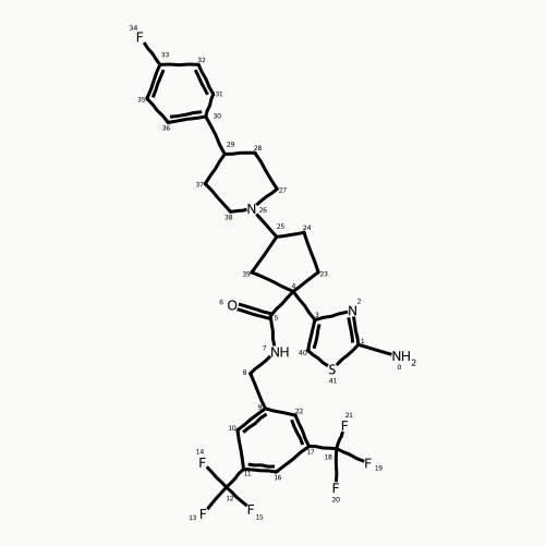 Nc1nc(C2(C(=O)NCc3cc(C(F)(F)F)cc(C(F)(F)F)c3)CCC(N3CCC(c4ccc(F)cc4)CC3)C2)cs1